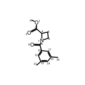 COC(=O)C1CCN1C(=O)c1cc(C)cc(C)c1